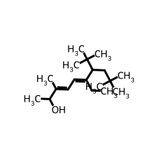 CC/C(=C\C=C(/C)C(C)O)C(CC(C)(C)C)C(C)(C)C